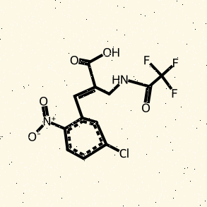 O=C(O)/C(=C/c1cc(Cl)ccc1[N+](=O)[O-])CNC(=O)C(F)(F)F